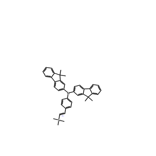 CC1(C)c2ccccc2-c2ccc(N(c3ccc(/C=C/[Si](C)(C)C)cc3)c3ccc4c(c3)C(C)(C)c3ccccc3-4)cc21